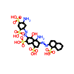 Nc1cc(N=Nc2c(S(=O)(=O)O)cc3c(S(=O)(=O)O)cc(N=Nc4ccc5ccccc5c4S(=O)(=O)O)c(N)c3c2O)c(S(=O)(=O)O)cc1S(=O)(=O)O